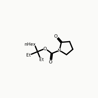 CCCCCCC(CC)(CC)OC(=O)N1CCCC1=O